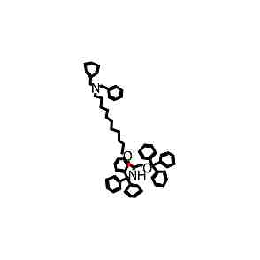 c1ccc(CN(CCCCCCCCCCCOCC(COC(c2ccccc2)(c2ccccc2)c2ccccc2)NC(c2ccccc2)(c2ccccc2)c2ccccc2)Cc2ccccc2)cc1